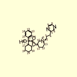 C[N+]1(CCCc2cnccn2)CCCC(OC(=O)[C@](O)(c2ccccc2)C2CCCCC2)C1